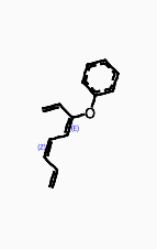 C=C/C=C\C=C(/C=C)Oc1ccccc1